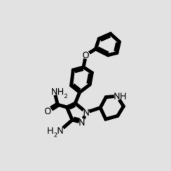 NC(=O)c1c(N)nn(C2CCCNC2)c1-c1ccc(Oc2ccccc2)cc1